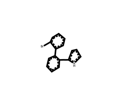 Brc1ccccc1-c1ccccc1-c1ccc[nH]1